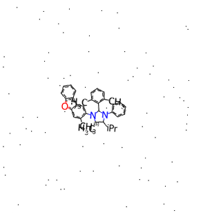 Cc1cc2oc3ccccc3c2cc1N1C(c2c(C)cccc2C)N(c2ccccc2)C(C(C)C)[C@@H]1C